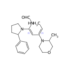 C/C=C(\C=C(/NC=O)N1CCCC1c1ccccc1)N1CCOCC1C